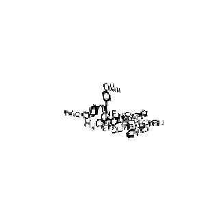 COc1ccc(CN(Cc2ccc(OC)cc2)c2cc(C)c(C(F)(F)F)c(-c3c(Cl)c4c5c(nc(OCCC6(OC)CCC6)nc5c3F)N([C@H](C)c3cccnc3NC(=O)OC(C)(C)C)CCO4)n2)cc1